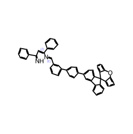 N=C(/C=C(\N=C\c1cccc(-c2ccc(-c3ccc4c(c3)-c3ccccc3C43c4ccccc4Oc4ccccc43)cc2)c1)c1ccccc1)c1ccccc1